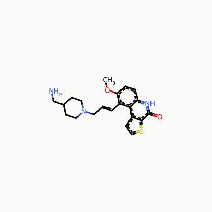 COc1ccc2[nH]c(=O)c3sccc3c2c1/C=C/CN1CCC(CN)CC1